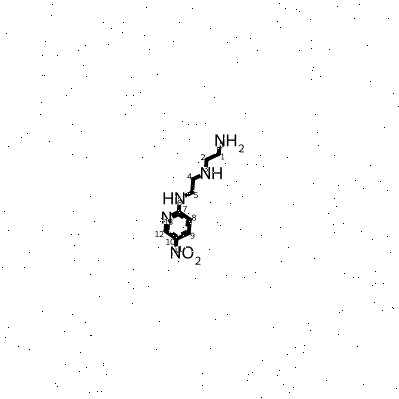 NCCNCCNc1ccc([N+](=O)[O-])cn1